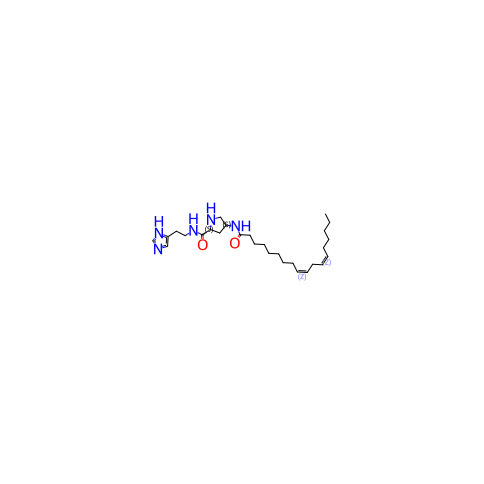 CCCCC/C=C\C/C=C\CCCCCCCC(=O)N[C@@H]1CN[C@H](C(=O)NCCc2cnc[nH]2)C1